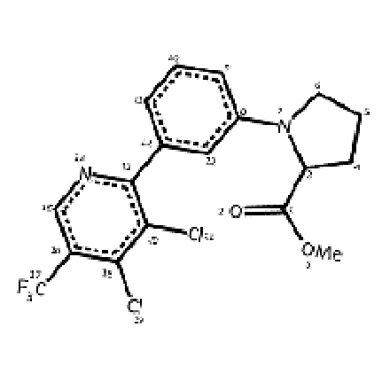 COC(=O)C1CCCN1c1cccc(-c2ncc(C(F)(F)F)c(Cl)c2Cl)c1